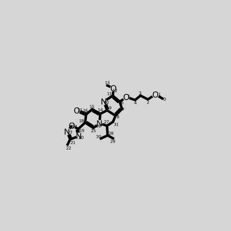 COCCCOc1cc2c(nc1OC)-c1cc(=O)c(-c3nc(C)no3)cn1C(C(C)C)C2